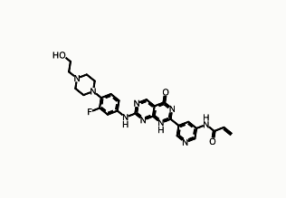 C=CC(=O)Nc1cncc(-c2nc(=O)c3cnc(Nc4ccc(N5CCN(CCO)CC5)c(F)c4)nc3[nH]2)c1